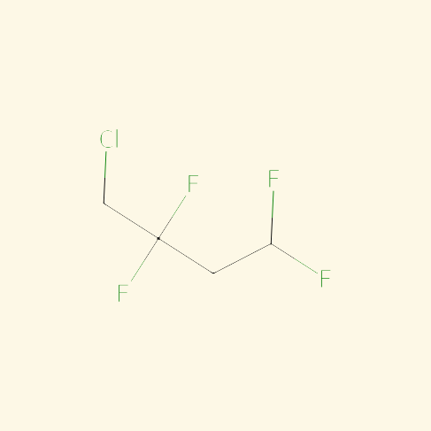 FC(F)CC(F)(F)CCl